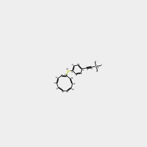 C[Si](C)(C)C#Cc1ccc(Sc2ccccccccc2)cc1